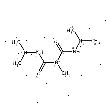 CN(C)NC(=O)[N+](C)C(=O)NN(C)C